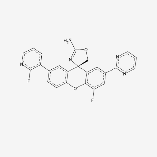 NC1=N[C@@]2(CO1)c1cc(-c3cccnc3F)ccc1Oc1c(F)cc(-c3ncccn3)cc12